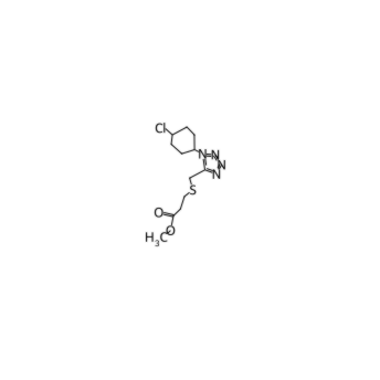 COC(=O)CCSCc1nnnn1C1CCC(Cl)CC1